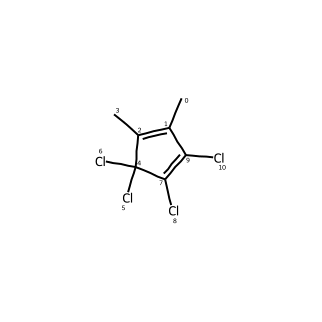 CC1=C(C)C(Cl)(Cl)C(Cl)=C1Cl